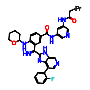 CC(C)CC(=O)Nc1cncc(NC(=O)c2ccc(NC3CCCCO3)c(C(=N)c3nc4c(-c5ccccc5F)cncc4[nH]3)c2)c1